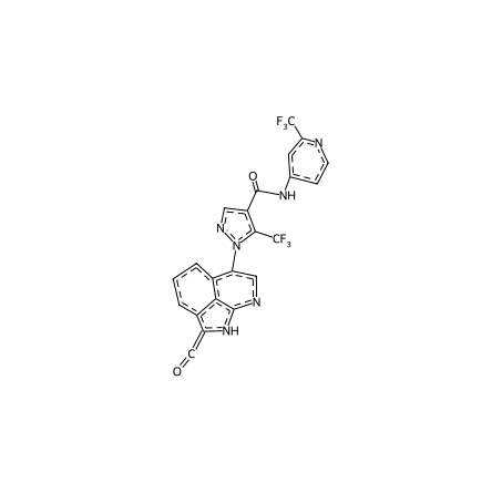 O=C=c1[nH]c2ncc(-n3ncc(C(=O)Nc4ccnc(C(F)(F)F)c4)c3C(F)(F)F)c3cccc1c23